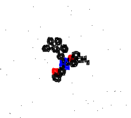 CC12CCCCC1Oc1c(-c3nc(-c4ccc(C5=C(c6ccccc6)C(C6C=CC=CC6)C(c6ccccc6)C(c6ccccc6)=C5)cc4)nc(-c4ccc5c(c4)oc4ccccc45)n3)cccc12